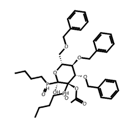 CCCC[PH](=O)[C@@]1(O)O[C@H](COCc2ccccc2)[C@@H](OCc2ccccc2)[C@H](OCc2ccccc2)[C@]1(OC(C)=O)[PH](=O)CCCC